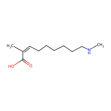 CNCCCCCCC=C(C)C(=O)O